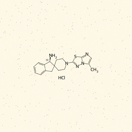 Cc1cnc2sc(N3CCC4(CC3)Cc3ccccc3[C@H]4N)nn12.Cl